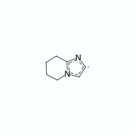 [c]1cn2c(n1)CCCC2